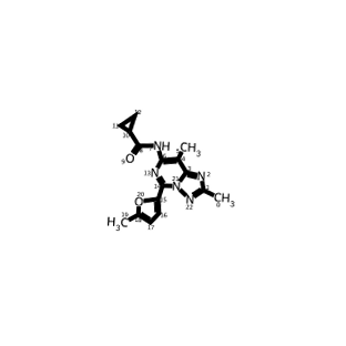 Cc1nc2c(C)c(NC(=O)C3CC3)nc(-c3ccc(C)o3)n2n1